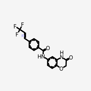 O=C1COc2ccc(NC(=O)c3ccc(/C=C/C(F)(F)F)cc3)cc2N1